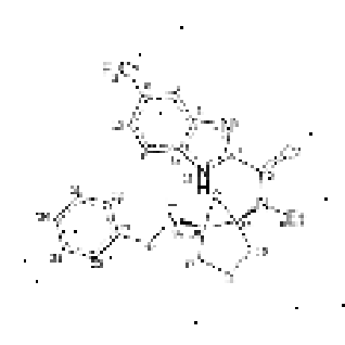 CCN(C(=O)c1nc2cc(C(F)(F)F)ccc2[nH]1)[C@@]12CCC[C@]1(NCc1ccccc1)C2